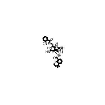 CC1(C)CCOc2c(C(=O)N[C@H]3CN4C(=N)N[C@@H](CNC(=O)c5ccccc5C#N)[C@@H]5NC(=N)N[C@@]54C3(O)O)cccc21